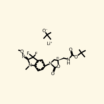 CC(C)(C)[O-].CON=C1N(C)c2ccc(N3C[C@@H](CNC(=O)OC(C)(C)C)OC3=O)cc2C1(F)F.[Li+]